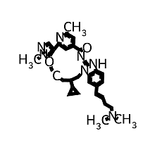 Cc1cc2cc(n1)-c1cnn(C)c1OCCCC(C1CC1)CN1/C(=N/C2=O)Nc2ccc(/C=C/CCN(C)C)cc21